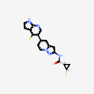 O=C(Nc1cc2cc(-c3cnc4[nH]ccc4c3F)ccn2n1)[C@@H]1C[C@@H]1F